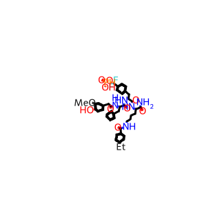 CCc1ccc(C(=O)NCCCCC(NC(=O)C(Cc2ccc(C(F)(F)O[PH](=O)O)cc2)NC(=O)C(Cc2ccccc2)NC(=O)Cc2ccc(O)c(OC)c2)C(N)=O)cc1